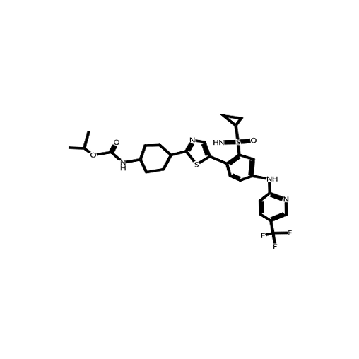 CC(C)OC(=O)NC1CCC(c2ncc(-c3ccc(Nc4ccc(C(F)(F)F)cn4)cc3S(=N)(=O)C3CC3)s2)CC1